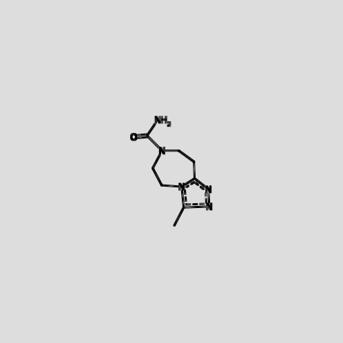 Cc1nnc2n1CCN(C(N)=O)CC2